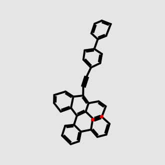 C(#Cc1c2ccccc2c(-c2ccccc2-c2ccccc2)c2ccccc12)c1ccc(-c2ccccc2)cc1